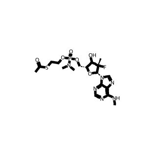 CNc1ncnc2c1ncn2[C@@H]1O[C@H](COP(=O)(OCCSC(C)=O)N(C)C)C(O)[C@]1(C)F